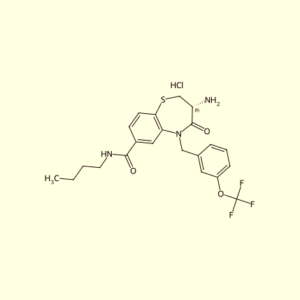 CCCCNC(=O)c1ccc2c(c1)N(Cc1cccc(OC(F)(F)F)c1)C(=O)[C@@H](N)CS2.Cl